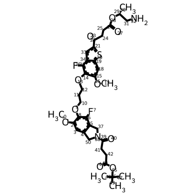 COc1cc2c(c(F)c1OCCCOc1c(OC)cc3sc(C(=O)CCC(=O)O[C@@H](C)CN)cc3c1F)CN(C(=O)CCC(=O)OC(C)(C)C)C2